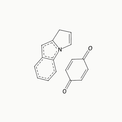 C1=Cn2c(cc3ccccc32)C1.O=C1C=CC(=O)C=C1